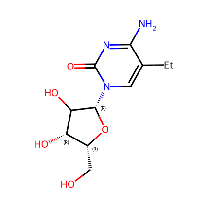 CCc1cn([C@@H]2O[C@H](CO)[C@H](O)C2O)c(=O)nc1N